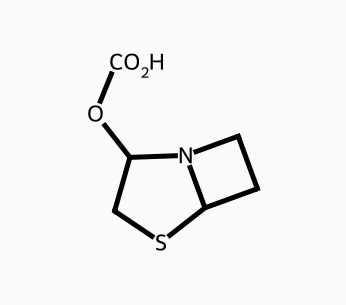 O=C(O)OC1CSC2CCN12